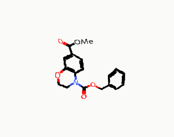 COC(=O)c1ccc2c(c1)OCCN2C(=O)OCc1ccccc1